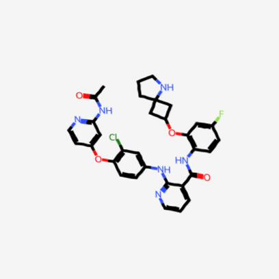 CC(=O)Nc1cc(Oc2ccc(Nc3ncccc3C(=O)Nc3ccc(F)cc3OC3CC4(CCCN4)C3)cc2Cl)ccn1